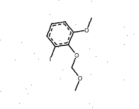 COCOc1c(I)cccc1OC